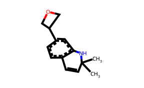 CC1(C)C=Cc2ccc(C3COC3)cc2N1